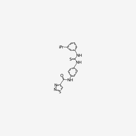 CC(C)c1cccc(NC(=S)Nc2ccc(NC(=O)c3csnn3)cc2)c1